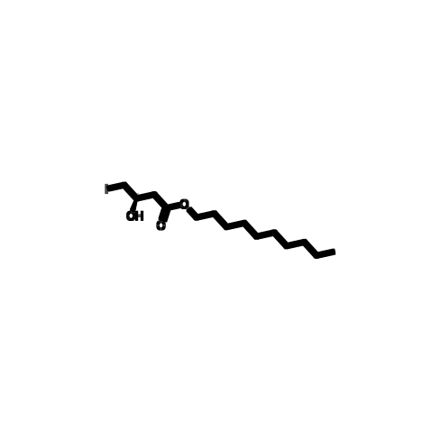 CCCCCCCCCCOC(=O)C[C@@H](O)CI